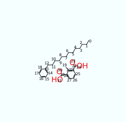 CCCCCCCCCCCCCc1ccccc1.Cc1c(C(=O)O)cccc1C(=O)O